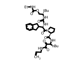 C=CCNC(=O)C(=O)C(CCCC)NC(=O)[C@@H]1CCCN1C(=O)[C@@H](NC(=O)N[C@H](COC(=O)NCC)C(C)(C)C)C1Cc2ccccc2C1